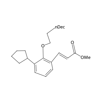 CCCCCCCCCCCCOc1c(/C=C/C(=O)OC)cccc1C1CCCC1